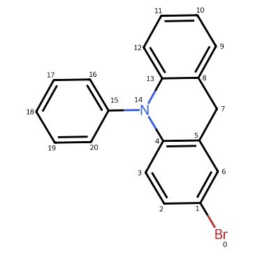 Brc1ccc2c(c1)Cc1ccccc1N2c1ccccc1